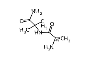 C[C@@H](N)C(=O)NC(C)(C)C(N)=O